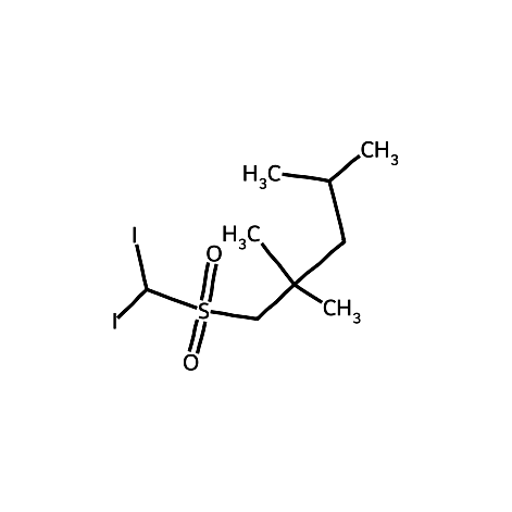 CC(C)CC(C)(C)CS(=O)(=O)C(I)I